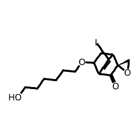 O=C1C2C=C(I)C(CC2OCCCCCCO)[C@@]12CO2